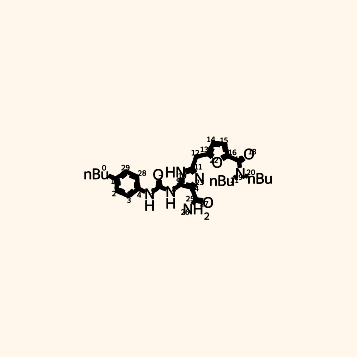 CCCCc1ccc(NC(=O)Nc2[nH]c(Cc3ccc(C(=O)N(CCCC)CCCC)o3)nc2C(N)=O)cc1